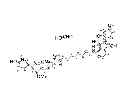 COc1cc(C2=CN(C)C(O)C(C)=C2)cc(OC)c1CN1CC(C(O)NCCCCCCCCNc2cccc3c2C(O)N(C2CCC(O)NC2O)C3O)C1.O=CO